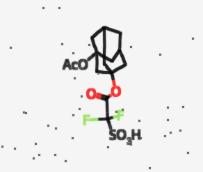 CC(=O)OC12CC3CC(C1)CC(OC(=O)C(F)(F)S(=O)(=O)O)(C3)C2